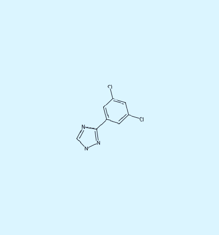 Clc1cc(Cl)cc(C2=N[N]C=N2)c1